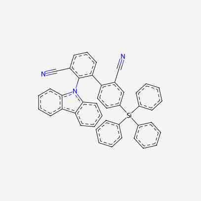 N#Cc1cc([Si](c2ccccc2)(c2ccccc2)c2ccccc2)ccc1-c1cccc(C#N)c1-n1c2ccccc2c2ccccc21